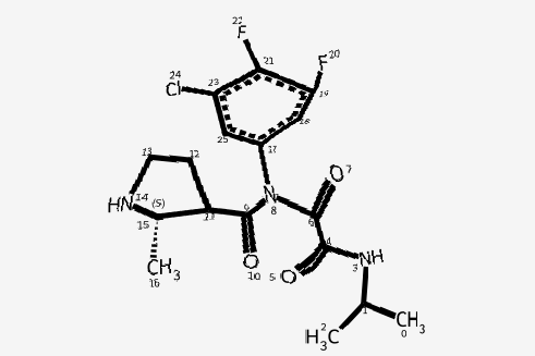 CC(C)NC(=O)C(=O)N(C(=O)C1CCN[C@H]1C)c1cc(F)c(F)c(Cl)c1